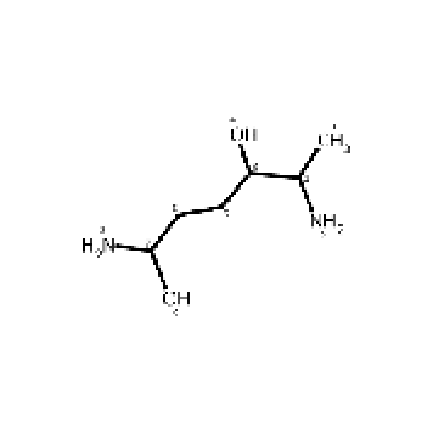 CC(N)C(O)CCC(N)O